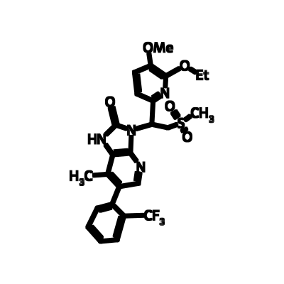 CCOc1nc(C(CS(C)(=O)=O)n2c(=O)[nH]c3c(C)c(-c4ccccc4C(F)(F)F)cnc32)ccc1OC